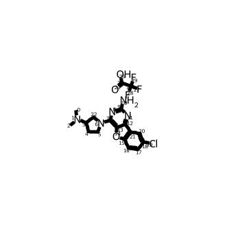 CN(C)C1CCN(c2nc(N)nc3c2oc2ccc(Cl)cc23)C1.O=C(O)C(F)(F)F